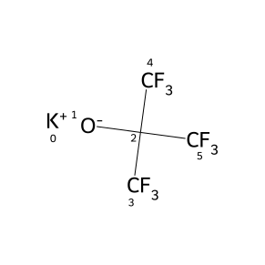 [K+].[O-]C(C(F)(F)F)(C(F)(F)F)C(F)(F)F